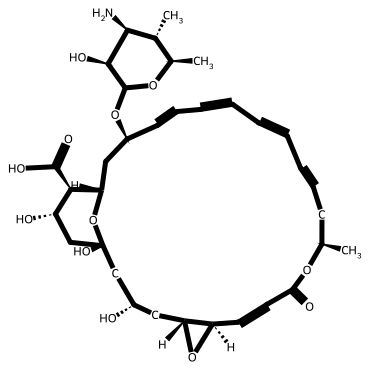 C[C@H]1[C@H](N)[C@H](O)C(O[C@H]2/C=C/C=C/C=C/C=C/C[C@@H](C)OC(=O)/C=C/[C@H]3O[C@@H]3C[C@H](O)C[C@]3(O)C[C@H](O)[C@@H](C(=O)O)[C@H](C2)O3)O[C@@H]1C